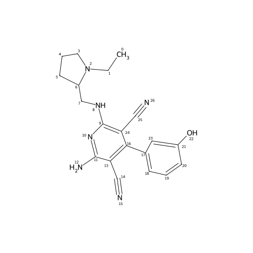 CCN1CCCC1CNc1nc(N)c(C#N)c(-c2cccc(O)c2)c1C#N